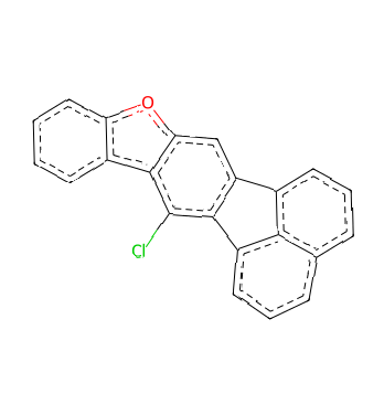 Clc1c2c(cc3oc4ccccc4c13)-c1cccc3cccc-2c13